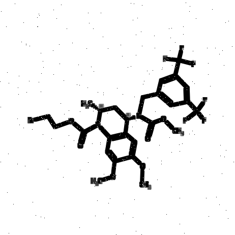 COC(=O)N(Cc1cc(C(F)(F)F)cc(C(F)(F)F)c1)[C@H]1C[C@@H](C)N(C(=O)OCCBr)c2cc(OC)c(OC)cc21